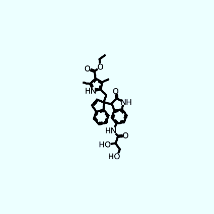 CCOC(=O)c1c(C)[nH]c(CC2(C3C(=O)Nc4ccc(NC(=O)C(O)CO)cc43)C=Cc3ccccc32)c1C